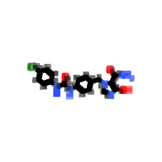 NC(=O)c1c(O)ncn1Cc1ccc(NC(=O)Nc2ccc(Cl)cc2)cc1